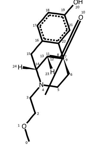 COCCN1CC[C@]23CC(=O)CC[C@H]2[C@H]1Cc1ccc(O)cc13